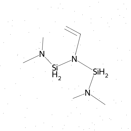 C=CN([SiH2]N(C)C)[SiH2]N(C)C